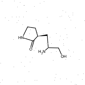 NC(CO)C[C@@H]1CCNC1=O